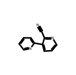 N#Cc1ncccc1-c1ccccn1